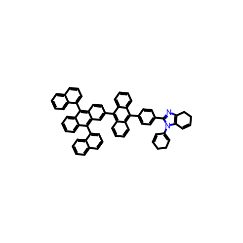 C1=CC(n2c(-c3ccc(-c4c5ccccc5c(-c5ccc6c(-c7cccc8ccccc78)c7ccccc7c(-c7cccc8ccccc78)c6c5)c5ccccc45)cc3)nc3c2C=CCC3)=CCC1